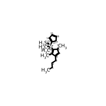 CCCCC1=CC(C)[C]([Zr]([CH3])([CH3])(=[SiH2])[C]2=CC=CC2)=C1C